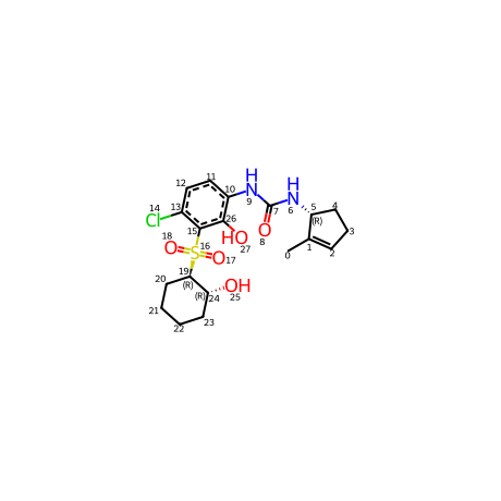 CC1=CCC[C@H]1NC(=O)Nc1ccc(Cl)c(S(=O)(=O)[C@@H]2CCCC[C@H]2O)c1O